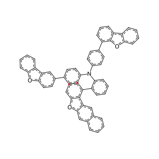 c1ccc(N(c2ccc(-c3ccc4oc5ccccc5c4c3)cc2)c2ccc(-c3cccc4c3oc3ccccc34)cc2)c(-c2cccc3oc4cc5ccccc5cc4c23)c1